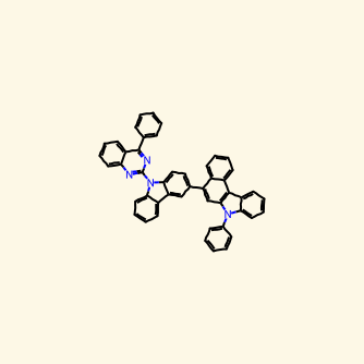 c1ccc(-c2nc(-n3c4ccccc4c4cc(-c5cc6c(c7ccccc57)c5ccccc5n6-c5ccccc5)ccc43)nc3ccccc23)cc1